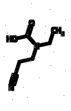 CCN(CCC#N)C(=O)O